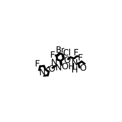 Oc1nc(OC[C@@]23CCCN2C[C@H](F)C3)nc2c(F)c(Br)c(Cl)c(OCC(NC3CCOC3)C(F)F)c12